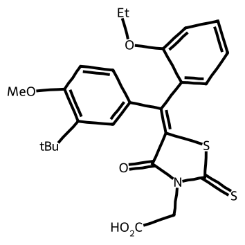 CCOc1ccccc1C(=C1SC(=S)N(CC(=O)O)C1=O)c1ccc(OC)c(C(C)(C)C)c1